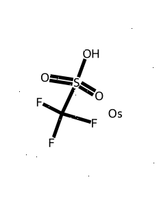 O=S(=O)(O)C(F)(F)F.[Os]